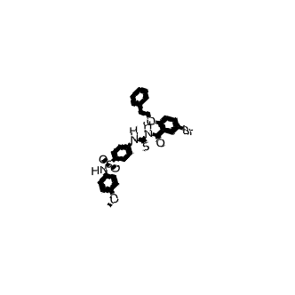 COc1ccc(NS(=O)(=O)c2ccc(NC(=S)NC(=O)c3cc(Br)ccc3OCCc3ccccc3)cc2)cc1